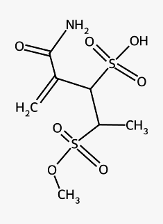 C=C(C(N)=O)C(C(C)S(=O)(=O)OC)S(=O)(=O)O